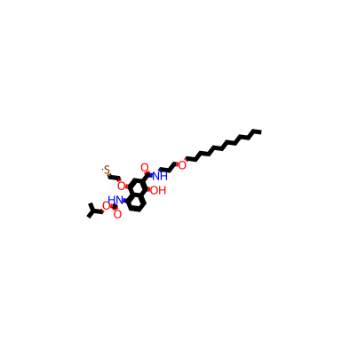 CCCCCCCCCCCCOCCCNC(=O)c1cc(OCC[S])c2c(NC(=O)OCC(C)C)cccc2c1O